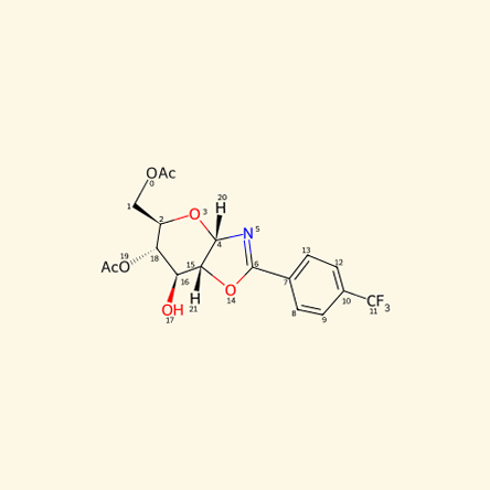 CC(=O)OC[C@H]1O[C@@H]2N=C(c3ccc(C(F)(F)F)cc3)O[C@@H]2[C@@H](O)[C@@H]1OC(C)=O